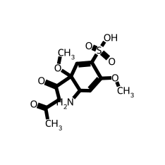 COC1=CC(N)C(OC)(C(=O)CC(C)=O)C=C1S(=O)(=O)O